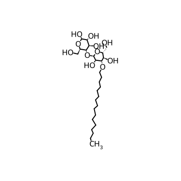 CCCCCCCCCCCCCCCCO[C@@H]1[C@@H](O)[C@@H](O[C@H]2[C@H](O)[C@@H](O)[C@H](O)O[C@@H]2CO)O[C@H](CO)[C@H]1O